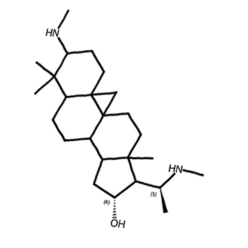 CNC1CCC23CC24CCC2(C)C(C[C@@H](O)C2[C@H](C)NC)C4CCC3C1(C)C